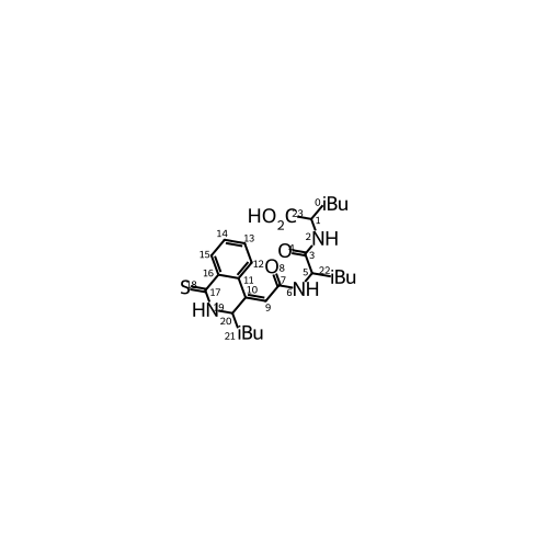 CCC(C)C(NC(=O)C(NC(=O)/C=C1\c2ccccc2C(=S)NC1C(C)CC)C(C)CC)C(=O)O